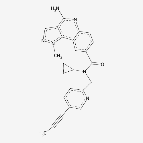 CC#Cc1ccc(CN(C(=O)c2ccc3nc(N)c4cnn(C)c4c3c2)C2CC2)nc1